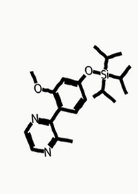 COc1cc(O[Si](C(C)C)(C(C)C)C(C)C)ccc1-c1nccnc1C